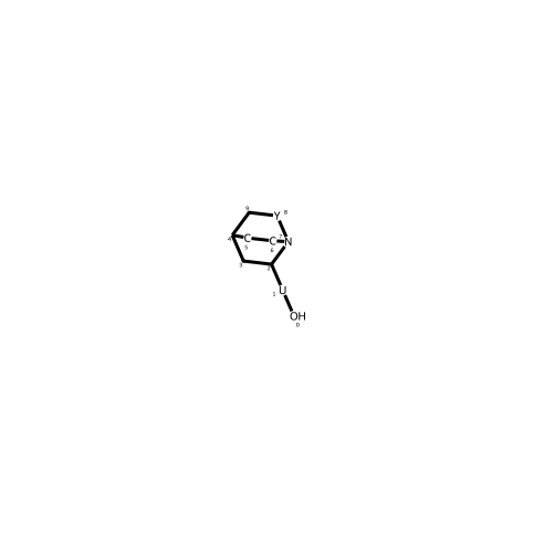 [OH][U][CH]1CC2CC[N]1[Y][CH2]2